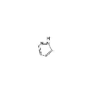 [H+].[c]1cccnn1